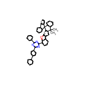 CC1(C)c2ccccc2C2(c3ccccc3-c3ccccc32)c2cc3oc4c(-c5nc(-c6ccccc6)nc(-c6ccc(-c7ccccc7)cc6)n5)cccc4c3cc21